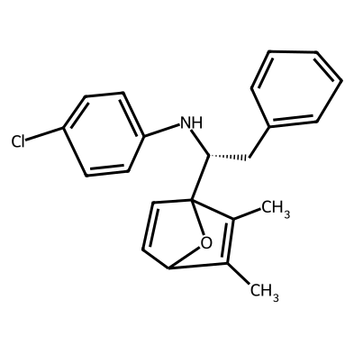 CC1=C(C)C2([C@@H](Cc3ccccc3)Nc3ccc(Cl)cc3)C=CC1O2